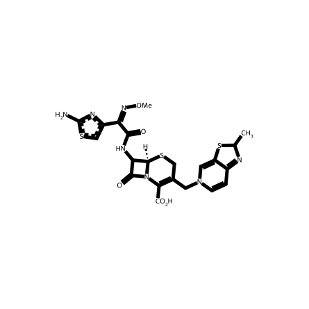 CO/N=C(\C(=O)NC1C(=O)N2C(C(=O)O)=C(CN3C=CC4=NC(C)SC4=C3)CS[C@H]12)c1csc(N)n1